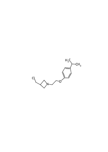 CC(C)c1ccc(OCCN2CC(CCl)C2)cc1